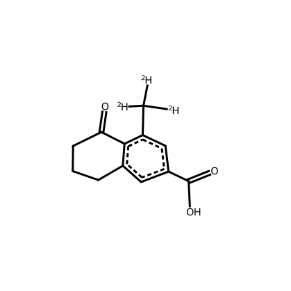 [2H]C([2H])([2H])c1cc(C(=O)O)cc2c1C(=O)CCC2